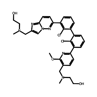 COc1nc(-c2cccc(-c3cccc(-c4ccc5nc(CN(C)CCO)cn5n4)c3Cl)c2Cl)ccc1CN(C)CCO